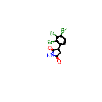 O=C1CC(c2ccc(Br)c(Br)c2Br)C(=O)N1